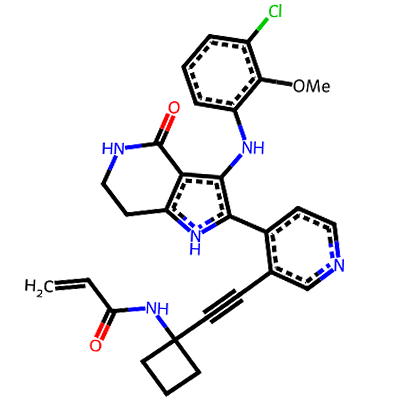 C=CC(=O)NC1(C#Cc2cnccc2-c2[nH]c3c(c2Nc2cccc(Cl)c2OC)C(=O)NCC3)CCC1